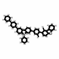 Cc1cc(-c2ccc3c4cc(-c5ccc(-c6ccccc6)cc5)ccc4n(-c4ccccc4)c3c2)ccc1-c1ccc2oc3ccccc3c2c1C